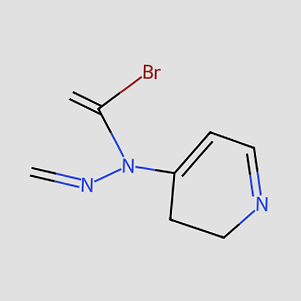 C=NN(C(=C)Br)C1=CC=NCC1